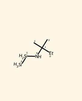 CCC(C)(C)N[SiH2][SiH3]